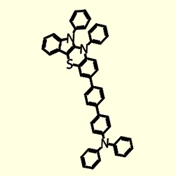 c1ccc(N(c2ccccc2)c2ccc(-c3ccc(-c4ccc5c(c4)Sc4c(n(-c6ccccc6)c6ccccc46)N5c4ccccc4)cc3)cc2)cc1